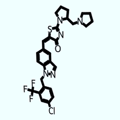 O=C1N=C(N2CCCC2CN2CCCC2)SC1=Cc1ccc2c(cnn2Cc2ccc(Cl)cc2C(F)(F)F)c1